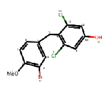 COc1ccc(Cc2c(Cl)cc(O)cc2Cl)cc1Br